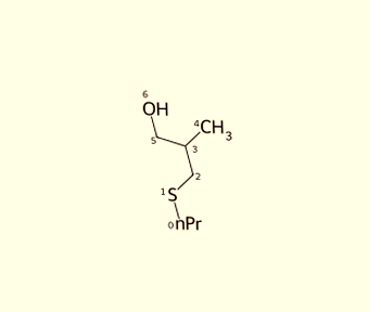 CCCSCC(C)CO